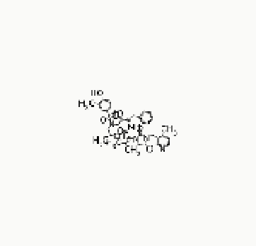 Cc1cc(S(=O)(=O)N(CC(C)C)C[C@H](O)[C@H](Cc2ccccc2)NC(=O)[C@H](C(C)C)N2CC(=O)N(Cc3cnccc3C)C2=O)ccc1O